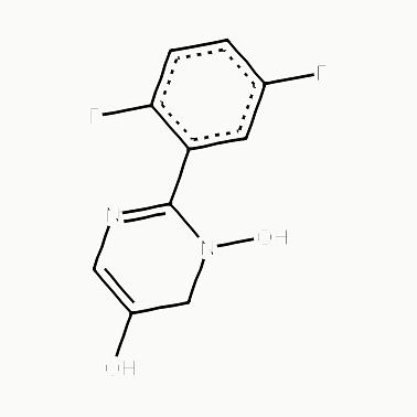 OC1=CN=C(c2cc(F)ccc2F)N(O)C1